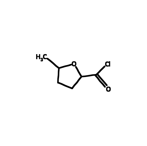 CC1CCC(C(=O)Cl)O1